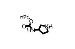 CCCOC(=O)NC1CCNC1